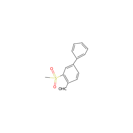 CS(=O)(=O)c1cc(-c2ccccc2)ccc1C=O